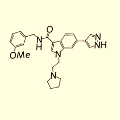 COc1cccc(CNC(=O)c2cn(CCN3CCCC3)c3cc(-c4cn[nH]c4)ccc23)c1